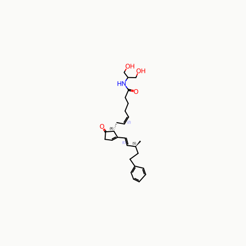 C[C@H](/C=C/C1=CCC(=O)[C@@H]1C/C=C\CCCC(=O)NC(CO)CO)CCc1ccccc1